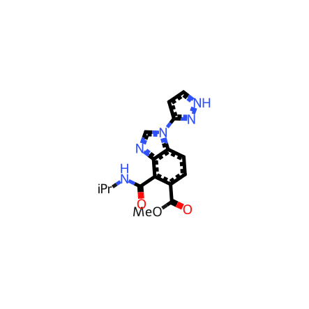 COC(=O)c1ccc2c(ncn2-c2cc[nH]n2)c1C(=O)NC(C)C